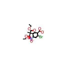 CCOC(=O)C(C)(C(=O)OCC)c1cc(C(=O)OC)c(Br)cc1[N+](=O)[O-]